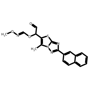 CO/N=C/OC(C=O)c1sc2nc(-c3ccc4ccccc4c3)nn2c1C